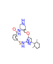 Cc1cccc(C)c1-c1cc2nc(n1)NSc1cccc(c1)C(=O)NC1(CCNCC1)CO2